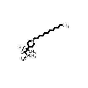 CCCCCCCCCCCCN1CCC(C(C)(C)C(=O)N(C)C)CC1